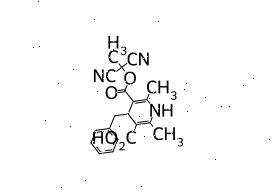 CC1=C(C(=O)O)C(Cc2ccccc2)C(C(=O)OC(C)(C#N)C#N)=C(C)N1